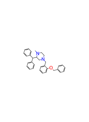 CN1CCN(Cc2ccccc2OCc2ccccc2)CC1C(c1ccccc1)c1ccccc1